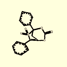 O=C1OC2=C(c3ccccc3)S(=O)(=O)C(c3ccccc3)(C2)O1